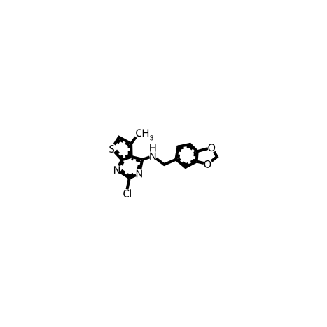 Cc1csc2nc(Cl)nc(NCc3ccc4c(c3)OCO4)c12